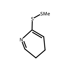 CSSC1=CCCC=N1